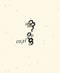 CCOC(=O)C[C@@H](c1ccc2c(c1)OCC2)N1CC[C@H](CCCC2=CC=C3CCCNC3N2)C1=O